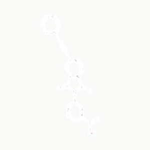 O=C(O)c1cccc(N2C(=O)c3ccc(C#Cc4ccccc4)cc3C2=O)c1